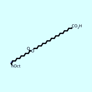 CCCCCCCC/C=C\CCCCCCCC(=O)OCCCCCCCCCCCCCCCCCCC(=O)O